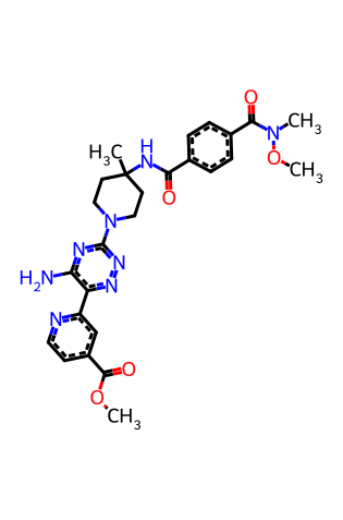 COC(=O)c1ccnc(-c2nnc(N3CCC(C)(NC(=O)c4ccc(C(=O)N(C)OC)cc4)CC3)nc2N)c1